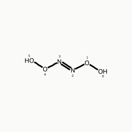 OO/N=N/OO